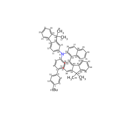 CC(C)(C)c1ccc(-c2ccc(N(c3ccc4c(c3)C(C)(C)c3ccccc3-4)c3ccc4ccccc4c3-c3cccc4c3-c3ccccc3C4(C)C)cc2)cc1